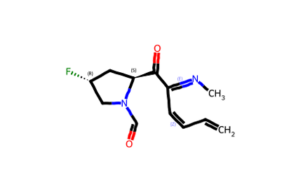 C=C/C=C\C(=N/C)C(=O)[C@@H]1C[C@@H](F)CN1C=O